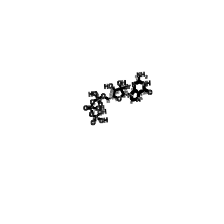 Nc1nc2c(ncn2[C@@H]2O[C@H](COP(=O)(O)OP(=O)(O)OP(=O)(O)O)[C@@H](O)[C@]2(O)Br)c(=O)[nH]1